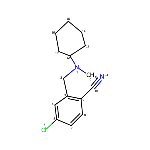 CN(Cc1cc(Cl)ccc1C#N)C1CCCCC1